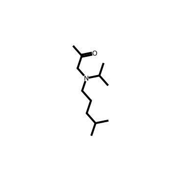 CC(=O)CN(CCCC(C)C)C(C)C